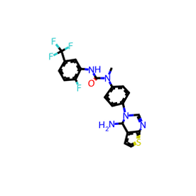 CN(C(=O)Nc1cc(C(F)(F)F)ccc1F)c1ccc(N2C=Nc3sccc3C2N)cc1